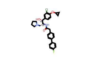 O=C(Cc1ccc(-c2ccc(F)cc2)cc1)N[C@H](CN1CCCC1)[C@H](O)c1ccc(OC2CC2)c(Cl)c1